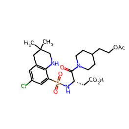 CC(=O)OCCC1CCN(C(=O)[C@H](CC(=O)O)NS(=O)(=O)c2cc(Cl)cc3c2NCC(C)(C)C3)CC1